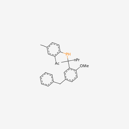 CCCC(C)(Pc1ccc(C)cc1C(C)=O)c1cc(Cc2ccccc2)ccc1OC